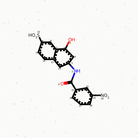 O=C(Nc1cc(O)c2cc(S(=O)(=O)O)ccc2c1)c1cccc([N+](=O)[O-])c1